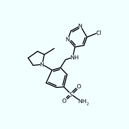 CC1CCCN1c1ccc(S(N)(=O)=O)cc1CNc1cc(Cl)ncn1